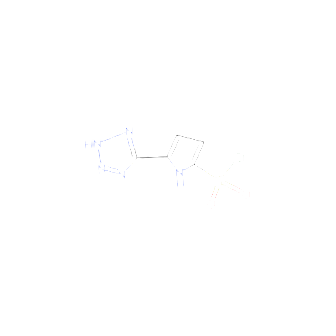 O=S(=O)(Cl)c1ccc(-c2nn[nH]n2)[nH]1